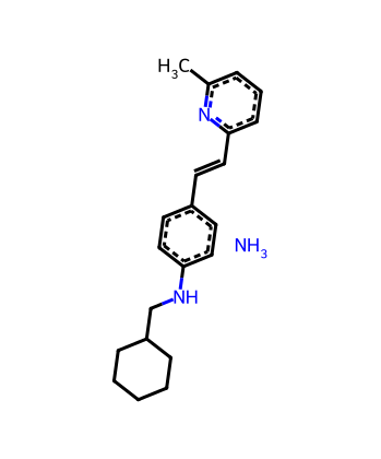 Cc1cccc(C=Cc2ccc(NCC3CCCCC3)cc2)n1.N